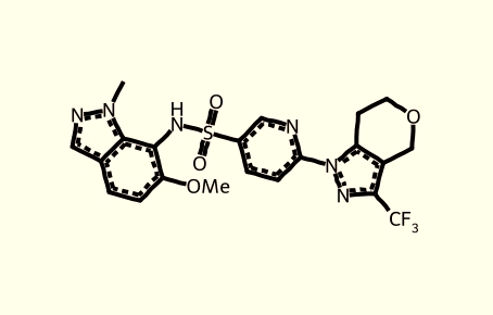 COc1ccc2cnn(C)c2c1NS(=O)(=O)c1ccc(-n2nc(C(F)(F)F)c3c2CCOC3)nc1